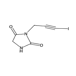 O=C1CNC(=O)N1CC#CI